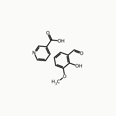 COc1cccc(C=O)c1O.O=C(O)c1cccnc1